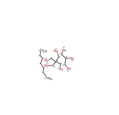 CCCCCCCCCCCCCCCC(=O)O.OCC(CO)(CO)CO.OCC(O)CO